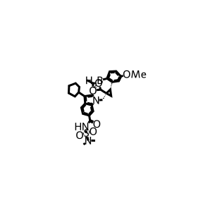 Bc1ccc(OC)cc1[C@@H]1C[C@@]1(Cn1cc(C2CCCCC2)c2ccc(C(=O)NS(=O)(=O)N(C)C)cc21)C1OC(C)O1